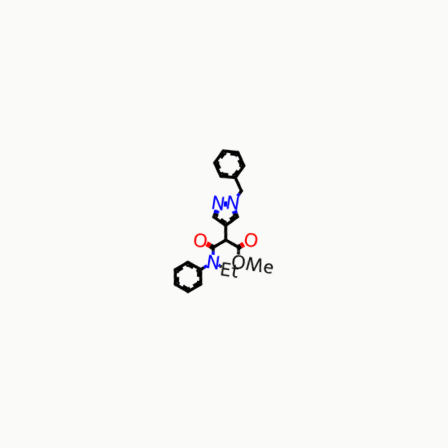 CCN(C(=O)C(C(=O)OC)c1cnn(Cc2ccccc2)c1)c1ccccc1